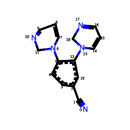 N#Cc1ccc(N2C=CC=NC2)c(N2C=CC=NC2)c1